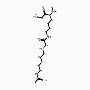 CN[C@@H](CCCCNC(=O)COCCOCCNC(C)=O)C(=O)CO